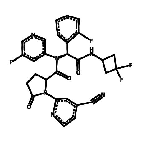 N#Cc1ccnc(N2C(=O)CCC2C(=O)N(c2cncc(F)c2)[C@H](C(=O)NC2CC(F)(F)C2)c2ccccc2F)c1